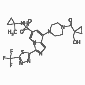 CC1(NS(=O)(=O)c2cc(N3CCN(C(=O)C4(CO)CC4)CC3)c3cnc(-c4nnc(C(F)(F)F)s4)n3c2)CC1